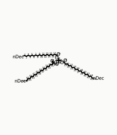 CCCCCCCCCCCCCCCCCCCCCCCCCCCC(=O)OCC(CO)(COC(=O)CCCCCCCCCCCCCCCCCCCCCCCCCCC)COC(=O)CCCCCCCCCCCCCCCCCCCCCCCCCCC